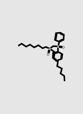 CCCCCCCCP(=O)(CCCCCCCC)CP(=O)(c1ccccc1)c1ccccc1